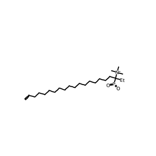 C=CCCCCCCCCCCCCCCCCC(CC)(P(=O)=O)[N+](C)(C)C